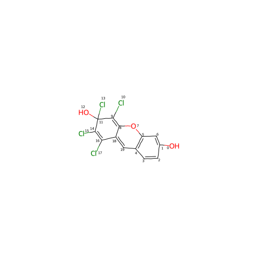 Oc1ccc2c(c1)OC1=C(Cl)C(O)(Cl)C(Cl)=C(Cl)C1=C2